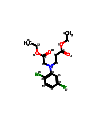 CCOC(=O)CCN(CC(=O)OCC)c1cc(Br)ccc1Br